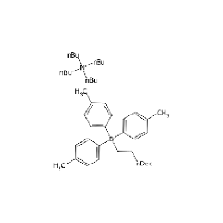 CCCCCCCCCCCC[B-](c1ccc(C)cc1)(c1ccc(C)cc1)c1ccc(C)cc1.CCCC[N+](CCCC)(CCCC)CCCC